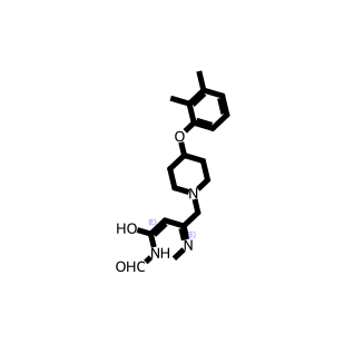 C/N=C(\C=C(\O)NC=O)CN1CCC(Oc2cccc(C)c2C)CC1